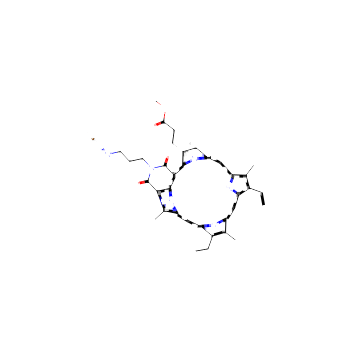 C=Cc1c(C)c2cc3nc(c4c5[nH]c(cc6nc(cc1[nH]2)C(C)=C6CC)c(C)c5C(=O)N(CCCN=C=S)C4=O)[C@@H](CCC(=O)OC)[C@@H]3C